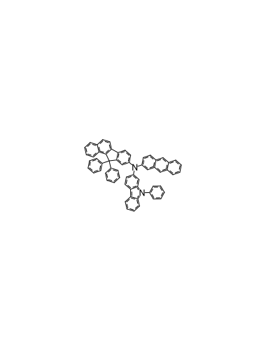 c1ccc(-n2c3ccccc3c3ccc(N(c4ccc5c(c4)C(c4ccccc4)(c4ccccc4)c4c-5ccc5ccccc45)c4ccc5cc6ccccc6cc5c4)cc32)cc1